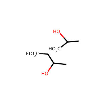 CC(O)C(=O)O.CCOC(=O)CC(C)O